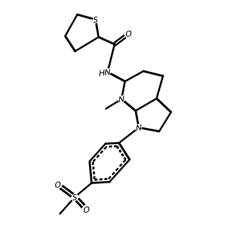 CN1C(NC(=O)C2CCCS2)CCC2CCN(c3ccc(S(C)(=O)=O)cc3)C21